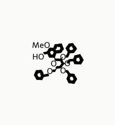 COc1c(CO)cc([C@@H]2O[C@H](COCc3ccccc3)[C@@H](OCc3ccccc3)[C@H](OCc3ccccc3)[C@H]2OCc2ccccc2)c2ccccc12